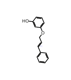 Oc1cccc(OC/C=C/c2ccccc2)c1